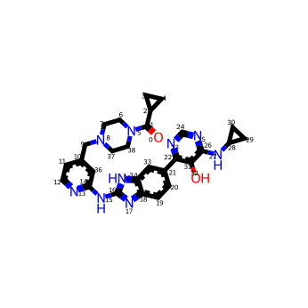 O=C(C1CC1)N1CCN(Cc2ccnc(Nc3nc4ccc(-c5ncnc(NC6CC6)c5O)cc4[nH]3)c2)CC1